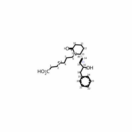 O=C(O)CCSCCCN1C(=O)CCC[C@@H]1/C=C/C(O)Cc1ccccc1